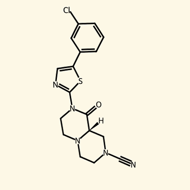 N#CN1CCN2CCN(c3ncc(-c4cccc(Cl)c4)s3)C(=O)[C@@H]2C1